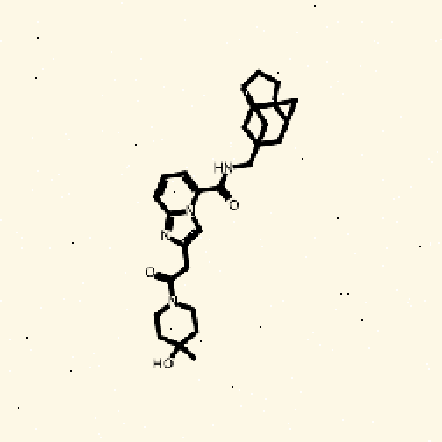 CC1(O)CCN(C(=O)Cc2cn3c(C(=O)NCC45CC6CCC7(CC7C4)C6C5)cccc3n2)CC1